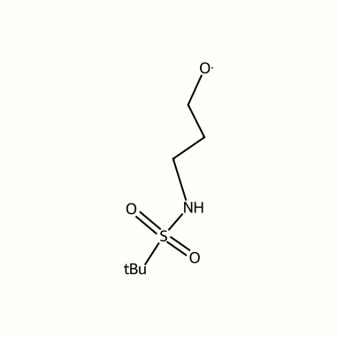 CC(C)(C)S(=O)(=O)NCCC[O]